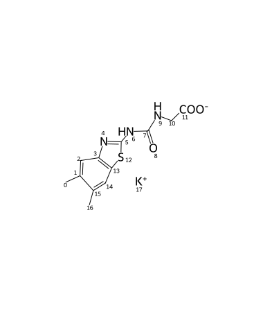 Cc1cc2nc(NC(=O)NCC(=O)[O-])sc2cc1C.[K+]